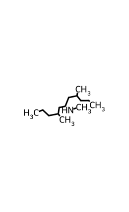 CCCC(C)CC(CC(C)CCC)NC